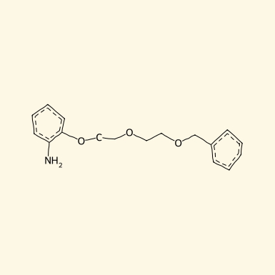 Nc1ccccc1OCCOCCOCc1ccccc1